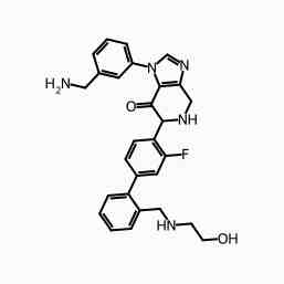 NCc1cccc(-n2cnc3c2C(=O)C(c2ccc(-c4ccccc4CNCCO)cc2F)NC3)c1